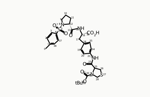 Cc1ccc(S(=O)(=O)N2CCC[C@@H]2C(=O)N[C@@H](Cc2ccc(NC(=O)C3CSCN3C(=O)OC(C)(C)C)cc2)C(=O)O)cc1